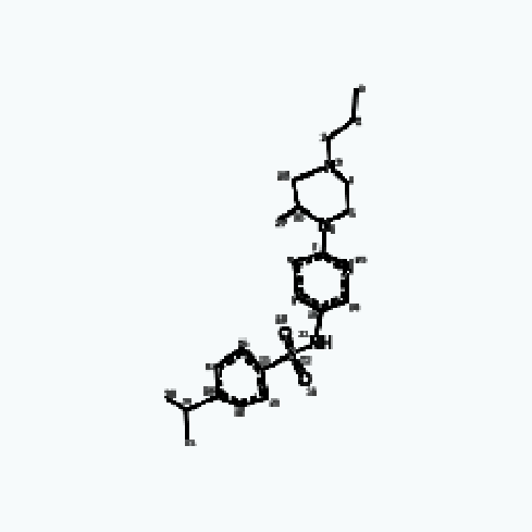 CCCN1CCN(c2ccc(NS(=O)(=O)c3ccc(C(C)C)cc3)cn2)C(C)C1